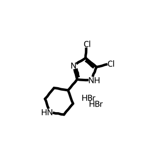 Br.Br.Clc1nc(C2CCNCC2)[nH]c1Cl